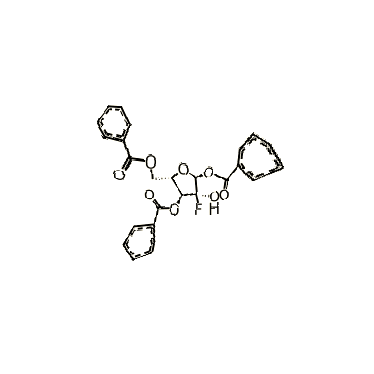 O=C(OC[C@@H]1O[C@@H](OC(=O)c2ccccc2)[C@@](O)(F)[C@H]1OC(=O)c1ccccc1)c1ccccc1